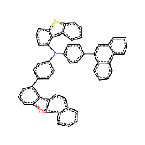 c1ccc2c(c1)cc(-c1ccc(N(c3ccc(-c4cccc5oc6c7ccccc7ccc6c45)cc3)c3cccc4sc5ccccc5c34)cc1)c1ccccc12